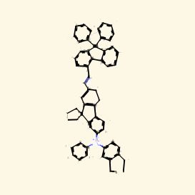 CCC1(CC)C2=C(CCC(/C=C/c3cccc4c3-c3ccccc3C4(c3ccccc3)c3ccccc3)=C2)c2ccc(N(c3ccccc3)c3ccc4c(c3)CCCC4)cc21